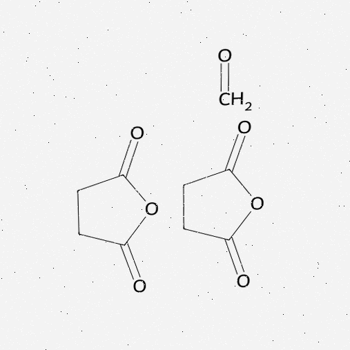 C=O.O=C1CCC(=O)O1.O=C1CCC(=O)O1